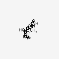 CCc1cc(N2C(=O)N(c3cncc(C(F)(F)F)c3)C[C@H]2O)ccc1Oc1ccnc2c1CCC(=O)N2